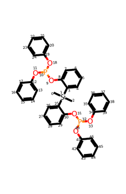 C[Si](C)(c1ccccc1OP(Oc1ccccc1)Oc1ccccc1)c1ccccc1OP(Oc1ccccc1)Oc1ccccc1